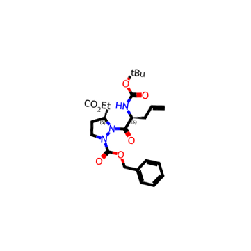 C=CC[C@H](NC(=O)OC(C)(C)C)C(=O)N1[C@H](C(=O)OCC)CCN1C(=O)OCc1ccccc1